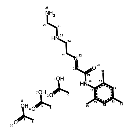 CC(=O)O.CC(=O)O.CC(=O)O.Cc1cc(C)c(NC(=O)C=NCCNCCN)c(C)c1